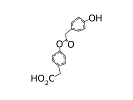 O=C(O)Cc1ccc(OC(=O)Cc2ccc(O)cc2)cc1